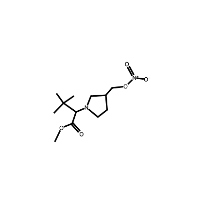 COC(=O)C(N1CCC(CO[N+](=O)[O-])C1)C(C)(C)C